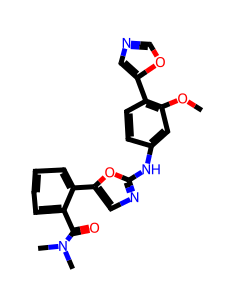 COc1cc(Nc2ncc(-c3ccccc3C(=O)N(C)C)o2)ccc1-c1cnco1